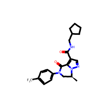 C[C@H]1CN(c2ccc(C(F)(F)F)cc2)C(=O)c2c(C(=O)NCC3CCCC3)cnn21